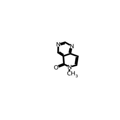 Cn1ccc2ncncc2c1=O